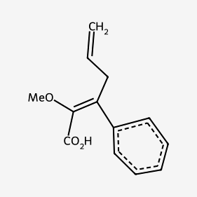 C=CCC(=C(OC)C(=O)O)c1ccccc1